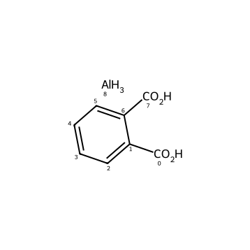 O=C(O)c1ccccc1C(=O)O.[AlH3]